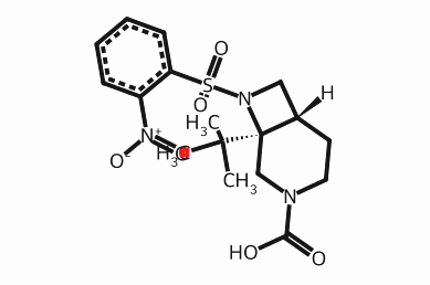 CC(C)(C)[C@@]12CN(C(=O)O)CC[C@H]1CN2S(=O)(=O)c1ccccc1[N+](=O)[O-]